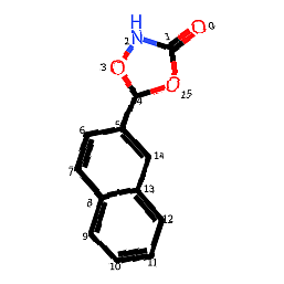 O=C1NOC(c2ccc3ccccc3c2)O1